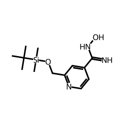 CC(C)(C)[Si](C)(C)OCc1cc(C(=N)NO)ccn1